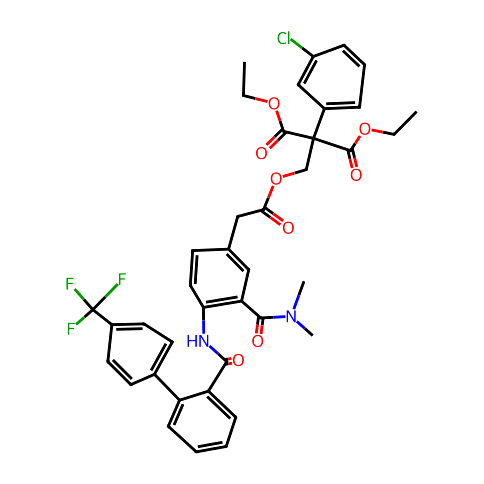 CCOC(=O)C(COC(=O)Cc1ccc(NC(=O)c2ccccc2-c2ccc(C(F)(F)F)cc2)c(C(=O)N(C)C)c1)(C(=O)OCC)c1cccc(Cl)c1